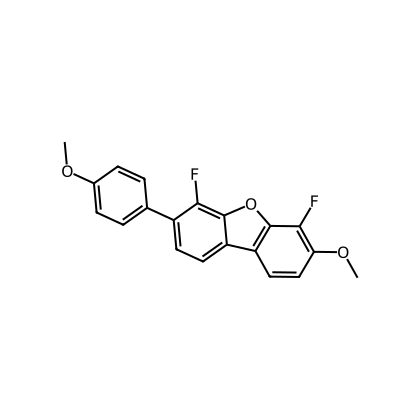 COc1ccc(-c2ccc3c(oc4c(F)c(OC)ccc43)c2F)cc1